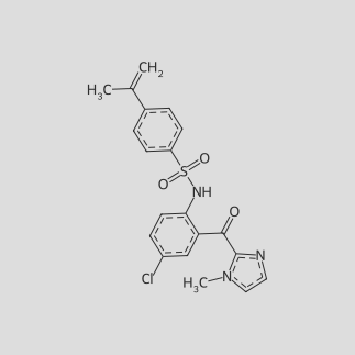 C=C(C)c1ccc(S(=O)(=O)Nc2ccc(Cl)cc2C(=O)c2nccn2C)cc1